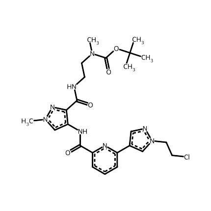 CN(CCNC(=O)c1nn(C)cc1NC(=O)c1cccc(-c2cnn(CCCl)c2)n1)C(=O)OC(C)(C)C